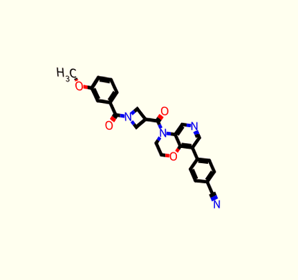 COc1cccc(C(=O)N2CC(C(=O)N3CCOc4c(-c5ccc(C#N)cc5)cncc43)C2)c1